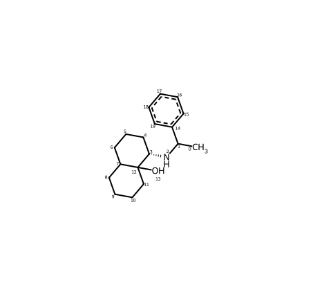 CC(N[C@H]1CCCC2CCCCC21O)c1ccccc1